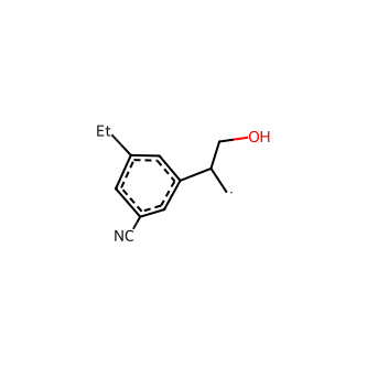 [CH2]C(CO)c1cc(C#N)cc(CC)c1